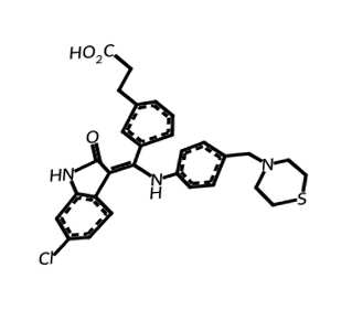 O=C(O)CCc1cccc(C(Nc2ccc(CN3CCSCC3)cc2)=C2C(=O)Nc3cc(Cl)ccc32)c1